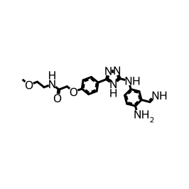 COCCNC(=O)COc1ccc(-c2nnc(Nc3ccc(N)c(C=N)c3)[nH]2)cc1